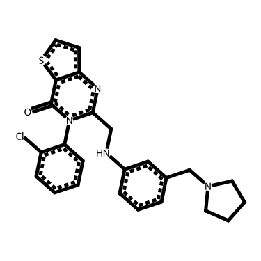 O=c1c2sccc2nc(CNc2cccc(CN3CCCC3)c2)n1-c1ccccc1Cl